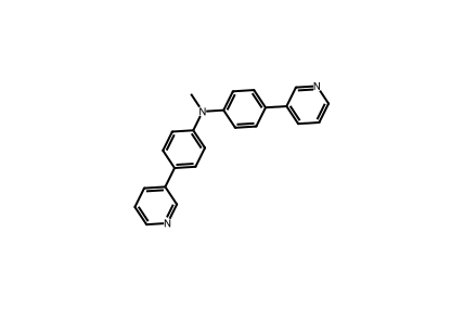 CN(c1ccc(-c2cccnc2)cc1)c1ccc(-c2cccnc2)cc1